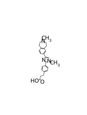 CN1CCc2ccc(-c3cn(C)c(-c4ccc(CCC(=O)O)cc4)n3)cc2CC1